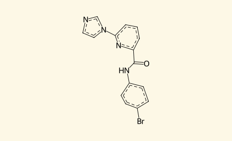 O=C(Nc1ccc(Br)cc1)c1cccc(-n2ccnc2)n1